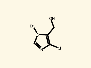 CCn1cnc(Cl)c1CO